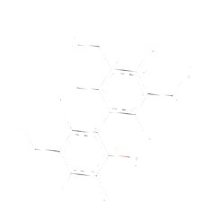 Cc1c(O)c(CBr)c(Br)c(-c2c(Br)c(CBr)c(O)c(CBr)c2Br)c1Br